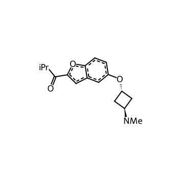 CN[C@H]1C[C@H](Oc2ccc3oc(C(=O)C(C)C)cc3c2)C1